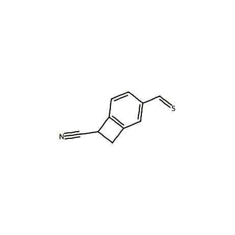 N#CC1Cc2cc(C=S)ccc21